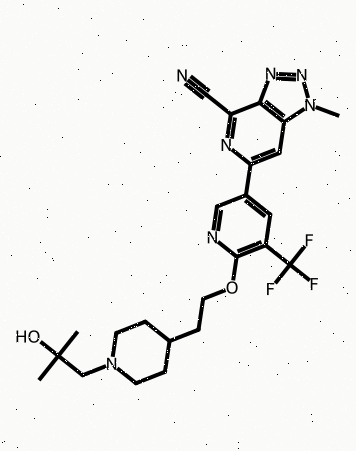 Cn1nnc2c(C#N)nc(-c3cnc(OCCC4CCN(CC(C)(C)O)CC4)c(C(F)(F)F)c3)cc21